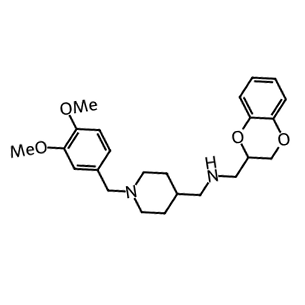 COc1ccc(CN2CCC(CNCC3COc4ccccc4O3)CC2)cc1OC